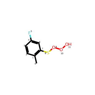 Cc1ccc(F)cc1SOOO